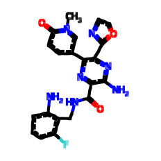 Cn1cc(-c2nc(C(=O)NCc3c(N)cccc3F)c(N)nc2-c2ncco2)ccc1=O